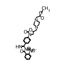 CCOC(=O)CN1CCN(CC2CN(c3ccc(C(=N)NC(=O)c4ccccc4[N+](=O)[O-])cc3)C(=O)O2)CC1